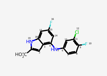 O=C(O)c1cc2c(Nc3ccc(F)c(Cl)c3)cc(F)cc2[nH]1